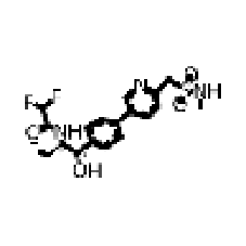 CNS(=O)(=O)Cc1ccc(-c2ccc([C@H](O)[C@@H](CF)NC(=O)C(F)F)cc2)cn1